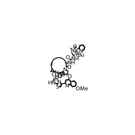 COc1ccc2c(O[C@@H]3C[C@H]4C(=O)N[C@]5(C(=O)O)CC5/C=C\CCCCC[C@H](NC(=O)N[C@H](CN(C)S(=O)(=O)c5ccccn5)C(C)(C)C)C(=O)N4C3)cc(-c3csc(NC(C)C)n3)nc2c1